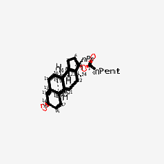 CCCCCC(=O)O[C@@]1(CCC)CC[C@H]2[C@@H]3CCC4=CC(=O)CC[C@]4(C)[C@H]3CC[C@@]21C